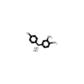 Cl.Cl.Nc1ccc(Cc2ccc(Cl)cc2)cc1N